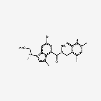 COC[C@@H](C)n1cc(C)c2c(C(=O)N(N)Cc3c(C)cc(C)[nH]c3=O)cc(Br)cc21